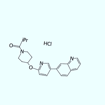 CC(C)C(=O)N1CCC(Oc2ccc(-c3ccc4cccnc4c3)cn2)CC1.Cl